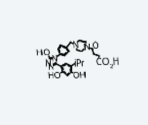 CC(C)c1cc(-c2nnc(O)n2-c2ccc(CN3CCN(C(=O)CCC(=O)O)CC3)cc2)c(O)cc1O